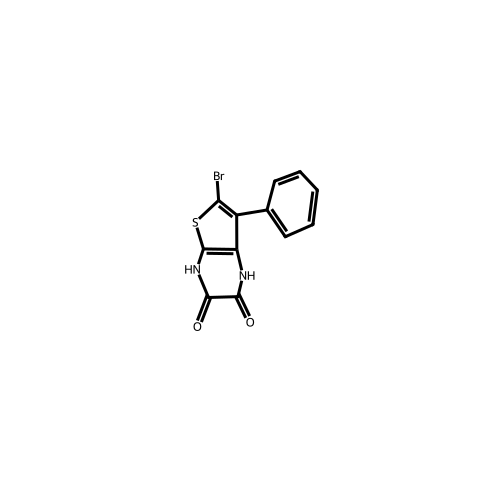 O=c1[nH]c2sc(Br)c(-c3ccccc3)c2[nH]c1=O